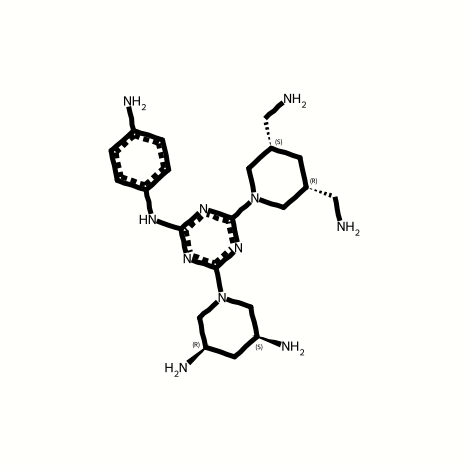 NC[C@@H]1C[C@H](CN)CN(c2nc(Nc3ccc(N)cc3)nc(N3C[C@H](N)C[C@H](N)C3)n2)C1